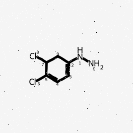 NNC1=CC=C(Cl)C(Cl)C1